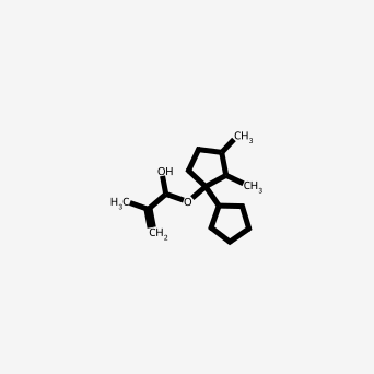 C=C(C)C(O)OC1(C2CCCC2)CCC(C)C1C